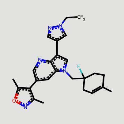 CC1=CCC(F)(Cn2cc(-c3cnn(CC(F)(F)F)c3)c3ncc(-c4c(C)noc4C)cc32)CC1